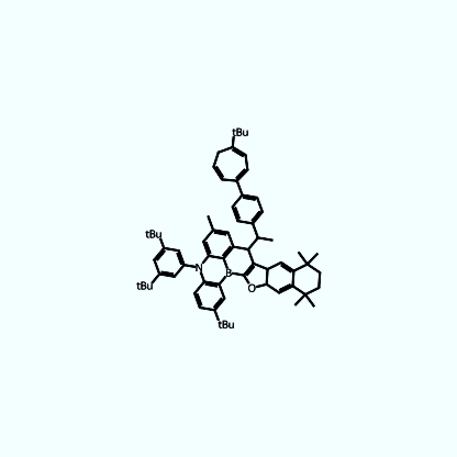 Cc1cc2c3c(c1)N(c1cc(C(C)(C)C)cc(C(C)(C)C)c1)c1ccc(C(C)(C)C)cc1B3C1=C(C3C=C4C(=CC3O1)C(C)(C)CCC4(C)C)C2C(C)c1ccc(C2=CC=C(C(C)(C)C)CC=C2)cc1